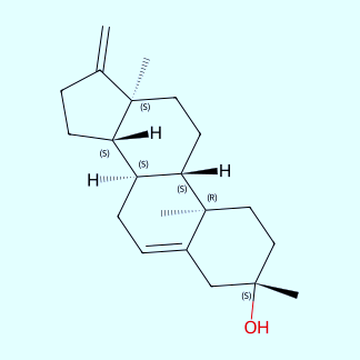 C=C1CC[C@H]2[C@@H]3CC=C4C[C@@](C)(O)CC[C@]4(C)[C@H]3CC[C@]12C